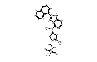 CN(c1ncnc2[nH]c(-c3cccc4ccccc34)nc12)[C@@H]1C[C@@H](COS(N)(=O)=O)[C@@H](O)C1